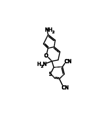 N#CC1=CSC(C2(N)CC=C3C=C(N)C=C3O2)C(C#N)=C1